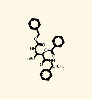 CCCCC(NC(=O)OCc1ccccc1)C(OC(=O)c1ccccc1)C(=O)N[C@H](C)c1ccccc1